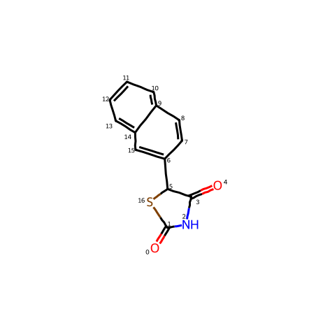 O=C1NC(=O)C(c2ccc3ccccc3c2)S1